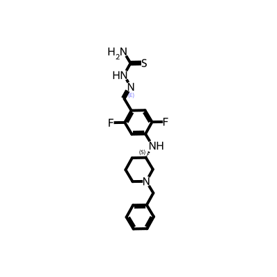 NC(=S)N/N=C/c1cc(F)c(N[C@H]2CCCN(Cc3ccccc3)C2)cc1F